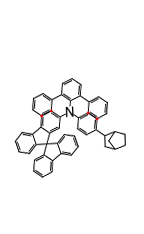 c1ccc(-c2cccc(-c3ccccc3)c2N(c2ccc(C3CC4CCC3C4)cc2)c2ccc3c(c2)C2(c4ccccc4-c4ccccc42)c2ccccc2-3)cc1